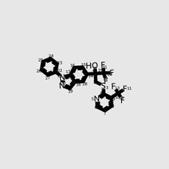 OC(CSc1ncccc1C(F)(F)F)(c1ccc2c(cnn2-c2ccccc2)c1)C(F)(F)F